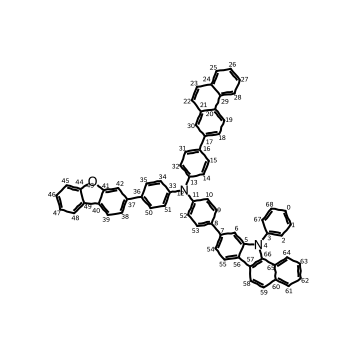 c1ccc(-n2c3cc(-c4ccc(N(c5ccc(-c6ccc7c(ccc8ccccc87)c6)cc5)c5ccc(-c6ccc7c(c6)oc6ccccc67)cc5)cc4)ccc3c3ccc4ccccc4c32)cc1